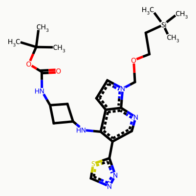 CC(C)(C)OC(=O)NC1CC(Nc2c(-c3nncs3)cnc3c2ccn3COCC[Si](C)(C)C)C1